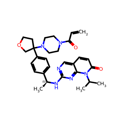 C=CC(=O)N1CCN(C2(c3ccc([C@H](C)Nc4ncc5ccc(=O)n(C(C)C)c5n4)cc3)CCOC2)CC1